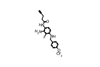 C#CCCC(=O)Nc1ccc(NCc2ccc(OC(F)(F)F)cc2)c(F)c1N